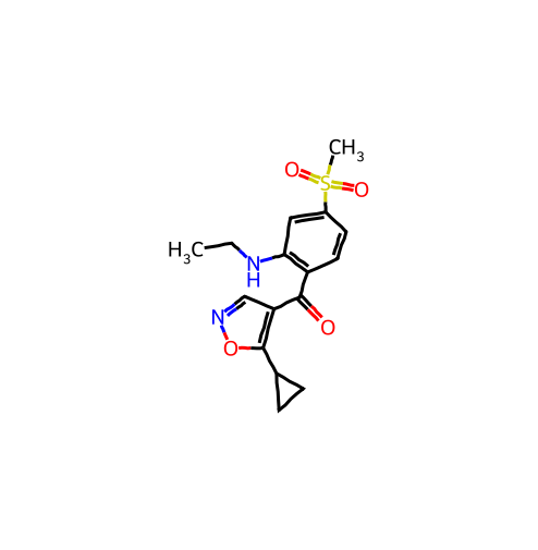 CCNc1cc(S(C)(=O)=O)ccc1C(=O)c1cnoc1C1CC1